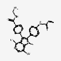 C=CC(=O)Nc1ccc(-c2c(-c3ccc(C(=O)NCC(F)(F)F)cc3)c3c(N)ncc(C#N)c3n2C)cc1